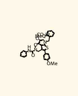 CCOC(=O)Oc1cn(Cc2ccccc2OC)c2sc(-c3ccc(OC)cc3)c(CN(C)C(=O)Nc3ccccc3)c2c1=O